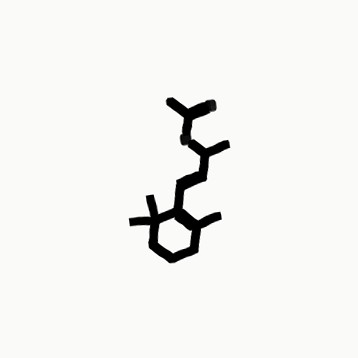 CC(=O)OC(C)C=CC1=C(C)CCCC1(C)C